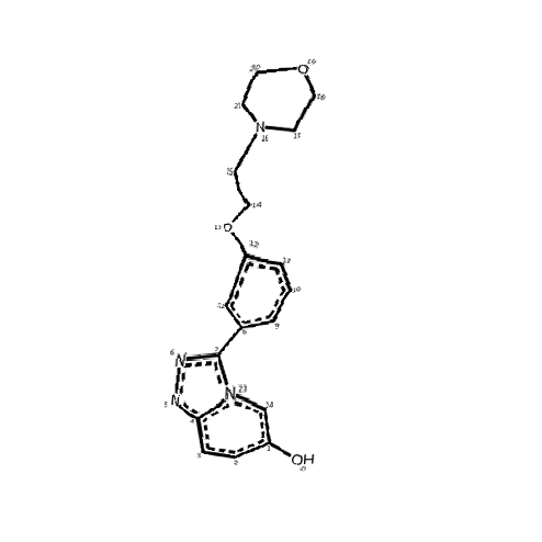 Oc1ccc2nnc(-c3cccc(OCCN4CCOCC4)c3)n2c1